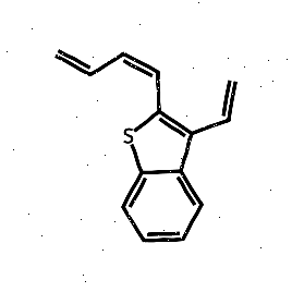 C=C/C=C\c1sc2ccccc2c1C=C